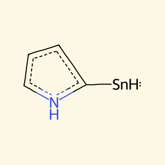 [SnH][c]1ccc[nH]1